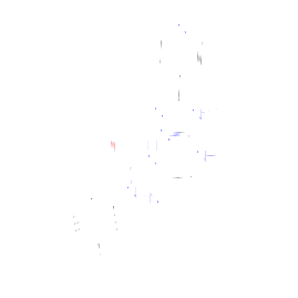 CC(C1=NN(c2cccc(Cl)c2)C(C=O)N1)N(C)c1nnc(-c2ccncc2)n1C